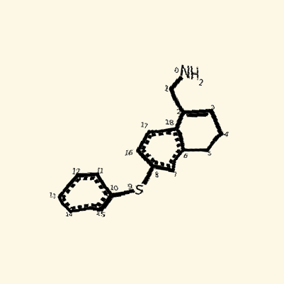 NCC1=CCCc2cc(Sc3ccccc3)ccc21